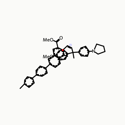 COC(=O)c1cc2cc(-c3ccc(-c4ccc(C)cc4)cc3)ccc2c(C)c1/C=C\C(C)(c1ccc(OC)cc1)c1ccc(N2CCCC2)cc1